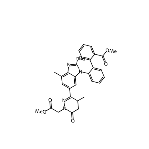 CCCCc1nc2c(C)cc(C3=NN(CC(=O)OC)C(=O)CC3C)cc2n1-c1ccccc1-c1ccccc1C(=O)OC